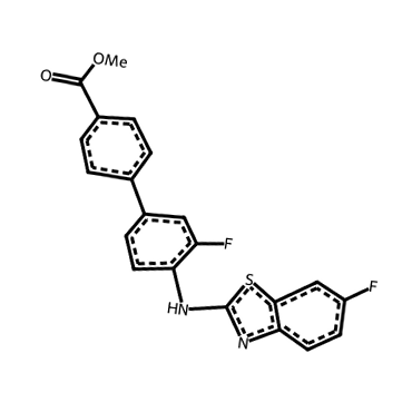 COC(=O)c1ccc(-c2ccc(Nc3nc4ccc(F)cc4s3)c(F)c2)cc1